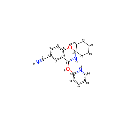 N#Cc1ccc2c(c1)C(Oc1ccccn1)=NC1(CCCCC1)O2